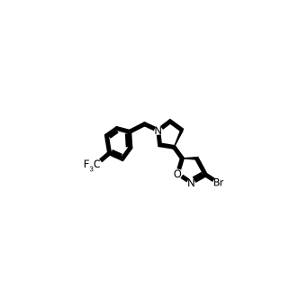 FC(F)(F)c1ccc(CN2CC[C@@H]([C@H]3CC(Br)=NO3)C2)cc1